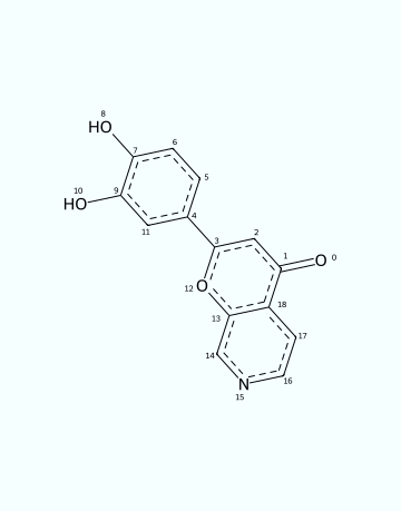 O=c1cc(-c2ccc(O)c(O)c2)oc2cnccc12